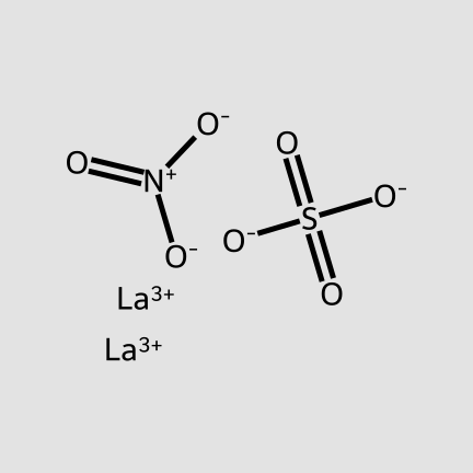 O=S(=O)([O-])[O-].O=[N+]([O-])[O-].[La+3].[La+3]